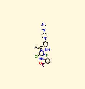 C=P(=O)c1cccc(F)c1Nc1nc(Nc2ccc(N3CCC(N4CCN(C)CC4)CC3)cc2OC)ncc1Cl